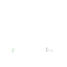 Fc1ccccc1.[Ru]